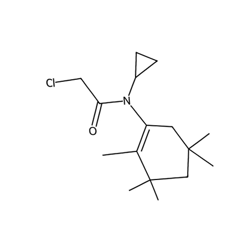 CC1=C(N(C(=O)CCl)C2CC2)CC(C)(C)CC1(C)C